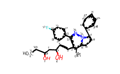 CC(C)c1c(/C=C/C(O)CC(O)CC(=O)O)c(-c2ccc(F)cc2)nn2c(-c3ccccc3)ccc12